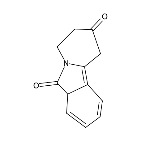 O=C1CCN2C(=O)C3C=CC=CC3=C2C1